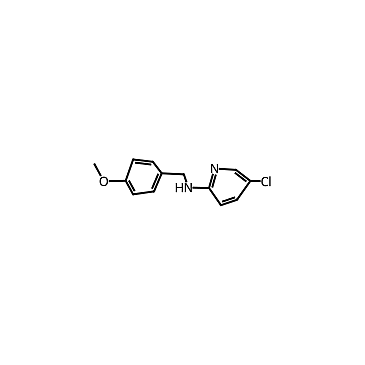 COc1ccc(CNc2ccc(Cl)cn2)cc1